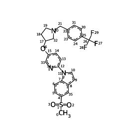 CS(=O)(=O)c1ccc2c(ccn2-c2ccc(OC3CCN(Cc4ccc(C(F)(F)F)cc4)C3)cn2)c1